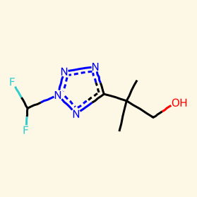 CC(C)(CO)c1nnn(C(F)F)n1